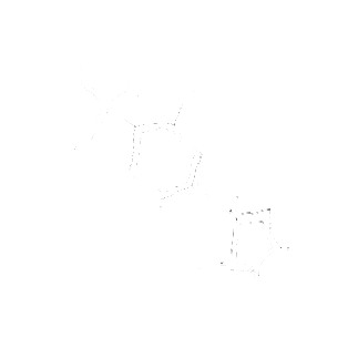 Cc1cc(-n2ccnn2)ccc1S(=O)(=O)Cl